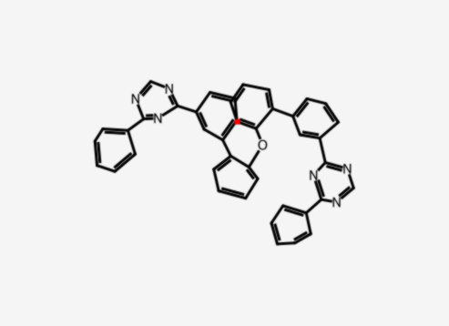 c1ccc(-c2ncnc(-c3cccc(-c4ccccc4Oc4ccccc4-c4cccc(-c5ncnc(-c6ccccc6)n5)c4)c3)n2)cc1